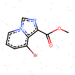 COC(=O)c1ncn2cccc(Br)c12